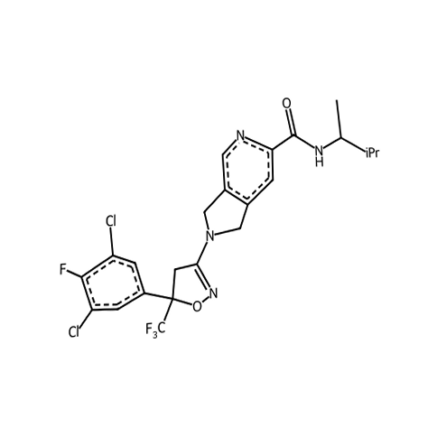 CC(C)C(C)NC(=O)c1cc2c(cn1)CN(C1=NOC(c3cc(Cl)c(F)c(Cl)c3)(C(F)(F)F)C1)C2